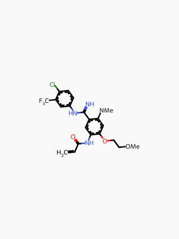 C=CC(=O)Nc1cc(C(=N)Nc2ccc(Cl)c(C(F)(F)F)c2)c(NC)cc1OCCOC